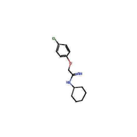 N=C(COc1ccc(Cl)cc1)NC1CCCCC1